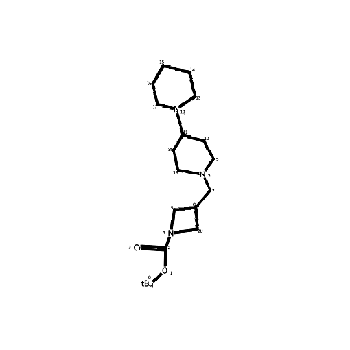 CC(C)(C)OC(=O)N1CC(CN2CCC(N3CCCCC3)CC2)C1